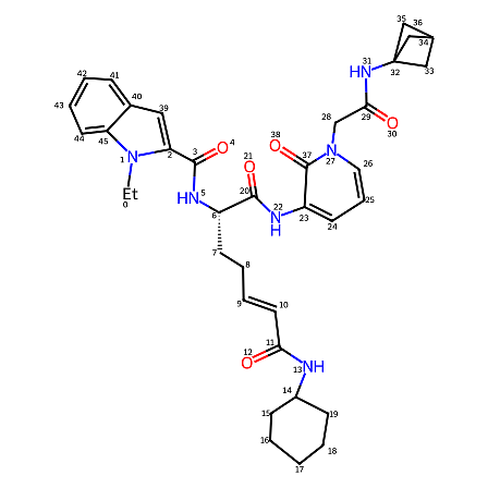 CCn1c(C(=O)N[C@@H](CC/C=C/C(=O)NC2CCCCC2)C(=O)Nc2cccn(CC(=O)NC34CC(C3)C4)c2=O)cc2ccccc21